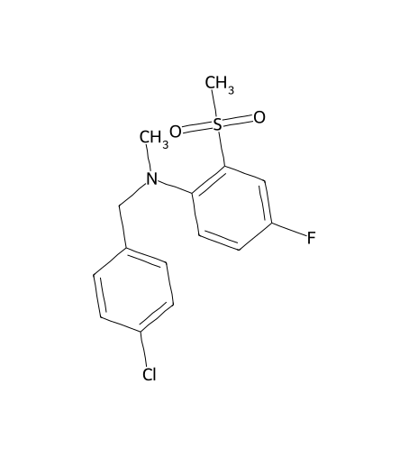 CN(Cc1ccc(Cl)cc1)c1ccc(F)cc1S(C)(=O)=O